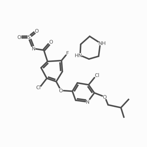 C1CNCCN1.CC(C)COc1ncc(Oc2cc(F)c(C(=O)N=S(=O)=O)cc2Cl)cc1Cl